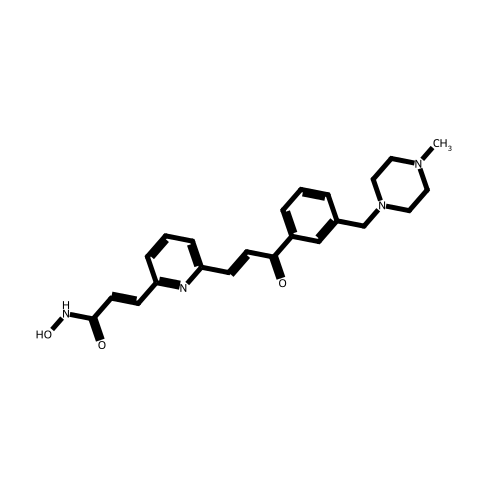 CN1CCN(Cc2cccc(C(=O)C=Cc3cccc(C=CC(=O)NO)n3)c2)CC1